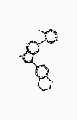 Cc1ccncc1-c1cnc2[nH]cc(-c3ccc4c(c3)CCCO4)c2c1